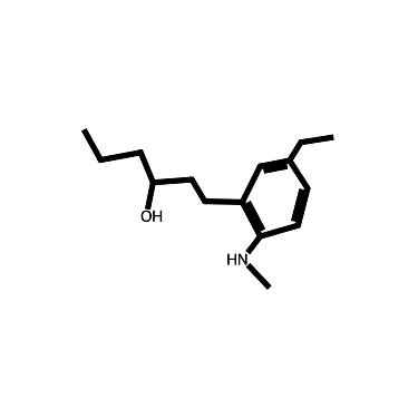 CCCC(O)CCc1cc(CC)ccc1NC